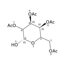 CC(=O)OCC1O[C@H](O)C(OC(C)=O)[C@@H](OC(C)=O)[C@H]1OC(C)=O